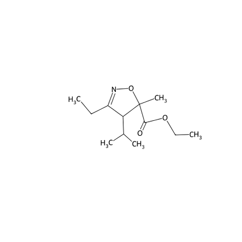 CCOC(=O)C1(C)ON=C(CC)C1C(C)C